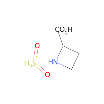 O=C(O)C1CCN1.O=[SH2]=O